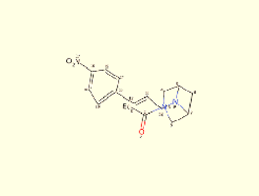 CCC(=O)N1CC2CC(C1)N2C/C=C/c1ccc([N+](=O)[O-])cc1